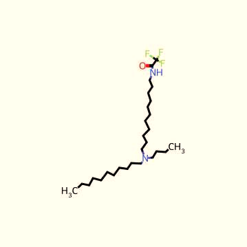 CCCCCCCCCCCN(CCCC)CCCCCCCCCCCNC(=O)C(F)(F)F